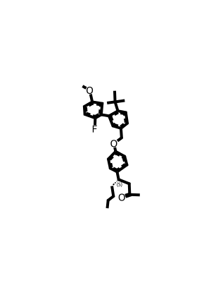 CCCC[C@@H](CC(C)=O)c1ccc(OCc2ccc(C(C)(C)C)c(-c3cc(OC)ccc3F)c2)cc1